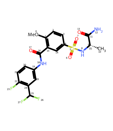 COc1ccc(S(=O)(=O)N[C@@H](C)C(N)=O)cc1C(=O)Nc1ccc(F)c(C(F)F)c1